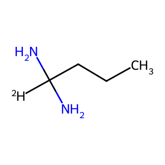 [2H]C(N)(N)CCC